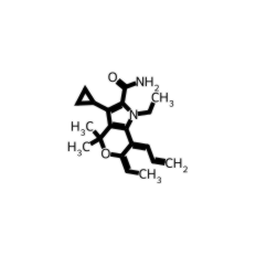 C=C/C=C1\C(=C/C)OC(C)(C)c2c(C3CC3)c(C(N)=O)n(CC)c21